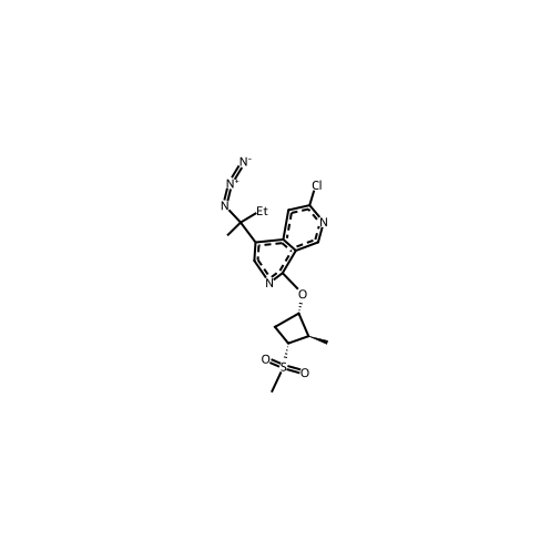 CCC(C)(N=[N+]=[N-])c1cnc(O[C@H]2C[C@@H](S(C)(=O)=O)[C@@H]2C)c2cnc(Cl)cc12